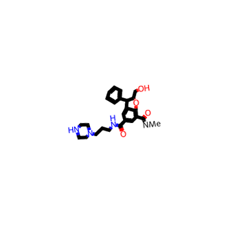 CNC(=O)c1cc(C(=O)NCCCN2CCNCC2)cc2c1OC(CO)C2c1ccccc1